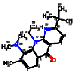 Cc1ccc2c(=O)c3ccc(C(C)(C)C#N)nc3n(CC(=O)O)c2c1N(C)C